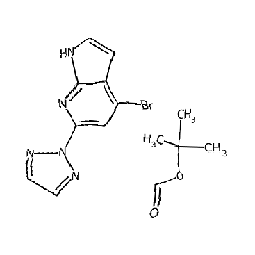 Brc1cc(-n2nccn2)nc2[nH]ccc12.CC(C)(C)OC=O